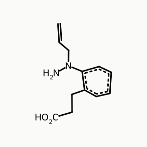 C=CCN(N)c1ccccc1CCC(=O)O